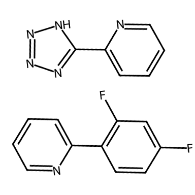 Fc1ccc(-c2ccccn2)c(F)c1.c1ccc(-c2nnn[nH]2)nc1